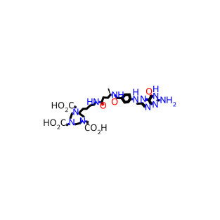 C[C@H](CCC(=O)NCCCCC1CN(CC(=O)O)CCN(CC(=O)O)CCN1CC(=O)O)NC(=O)c1ccc(NCc2cnc3nc(N)[nH]c(=O)c3n2)cc1